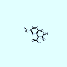 COc1ccc2c(c1)C(C(C)=O)C(=O)NO2